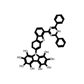 Oc1c(O)c(O)c2c(c1O)c1c(O)c(O)c(O)c(O)c1n2C1=Cc2oc3c(C4=NC(c5ccccc5)NC(c5ccccc5)=N4)cccc3c2CC1